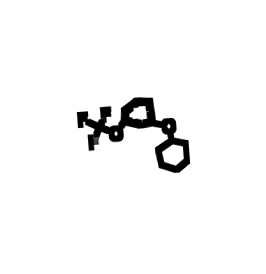 FC(F)(F)Oc1cccc(OC2CCCCC2)c1